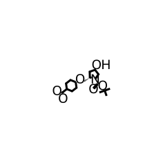 COC(=O)C1CCC(OC[C@@H]2C[C@H](O)CN2C(=O)OC(C)(C)C)CC1